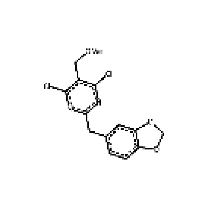 COCc1c(Cl)nc(Cc2ccc3c(c2)OCO3)nc1Cl